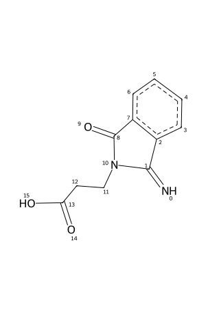 N=C1c2ccccc2C(=O)N1CCC(=O)O